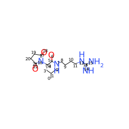 CC(C)C[C@@H](C(=O)NCCCCNC(=N)N)N1C(=O)CCC1=O